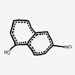 O=Nc1ccc2c(O)cccc2c1